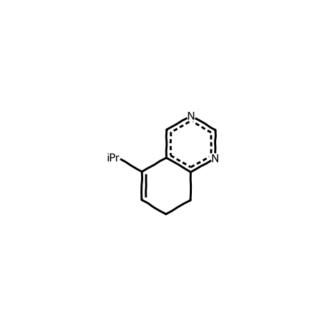 CC(C)C1=CCCc2ncncc21